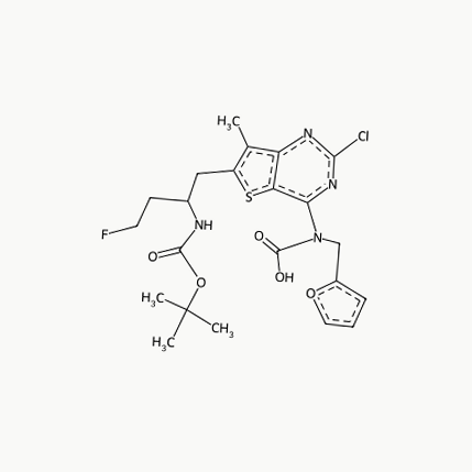 Cc1c(CC(CCF)NC(=O)OC(C)(C)C)sc2c(N(Cc3ccco3)C(=O)O)nc(Cl)nc12